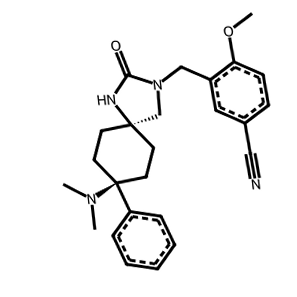 COc1ccc(C#N)cc1CN1C[C@]2(CC[C@](c3ccccc3)(N(C)C)CC2)NC1=O